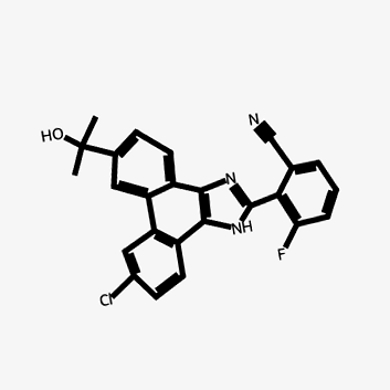 CC(C)(O)c1ccc2c(c1)c1cc(Cl)ccc1c1[nH]c(-c3c(F)cccc3C#N)nc21